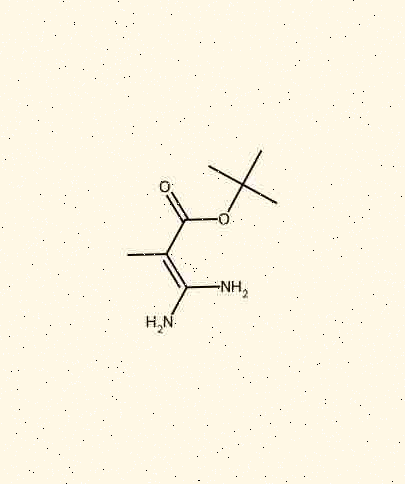 CC(C(=O)OC(C)(C)C)=C(N)N